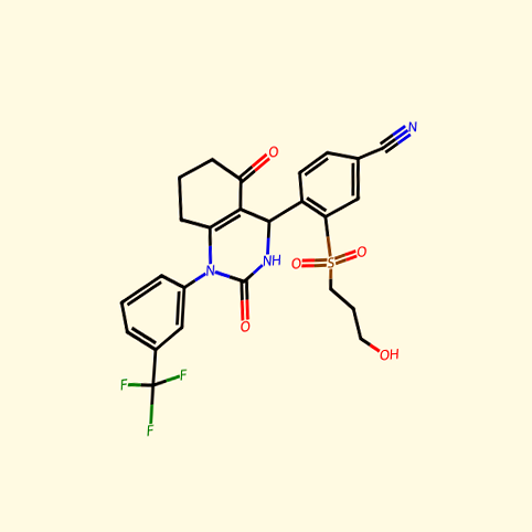 N#Cc1ccc(C2NC(=O)N(c3cccc(C(F)(F)F)c3)C3=C2C(=O)CCC3)c(S(=O)(=O)CCCO)c1